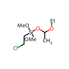 CCOC(C)O[Si](CCCl)(OC)OC